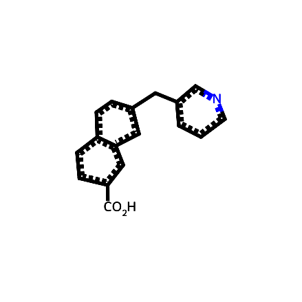 O=C(O)c1ccc2ccc(Cc3cccnc3)cc2c1